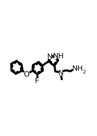 CN(CCN)Cc1c[nH]nc1-c1ccc(Oc2ccccc2)c(F)c1